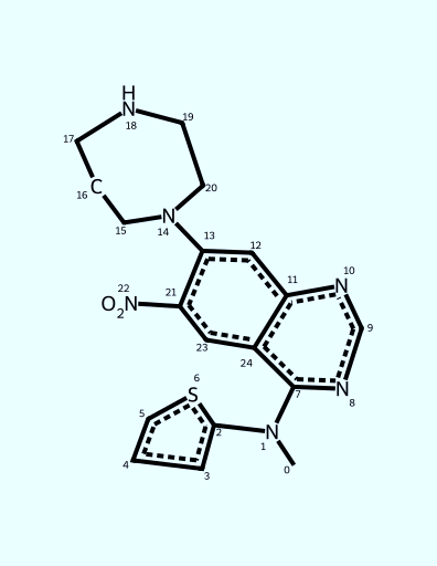 CN(c1cccs1)c1ncnc2cc(N3CCCNCC3)c([N+](=O)[O-])cc12